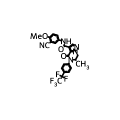 COc1ccc(NC(=O)c2cnn3c2C(=O)N(c2ccc(C(F)(F)C(F)(F)F)cc2)C(C)C3)cc1C#N